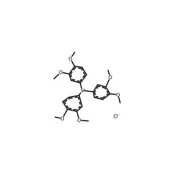 COc1ccc([S+](c2ccc(OC)c(OC)c2)c2ccc(OC)c(OC)c2)cc1OC.[Cl-]